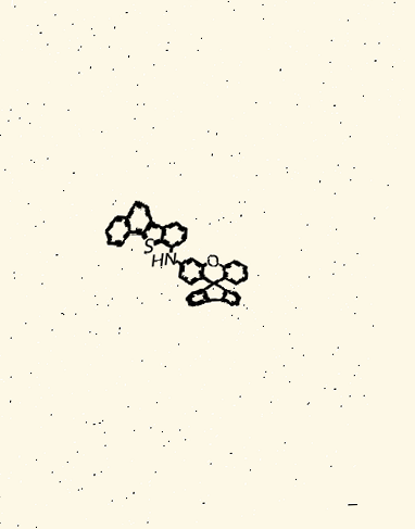 c1ccc2c(c1)Oc1cc(Nc3cccc4c3sc3c5ccccc5ccc43)ccc1C21c2ccccc2-c2ccccc21